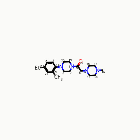 CCc1ccc(N2CCN(C(=O)CN3CCN(C)CC3)CC2)c(C(F)(F)F)c1